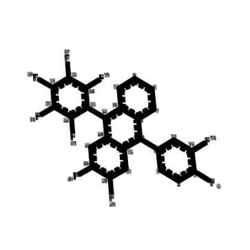 Fc1ccc(-c2c3ccccc3c(-c3c(F)c(F)c(F)c(F)c3F)c3cc(F)c(F)cc23)cc1F